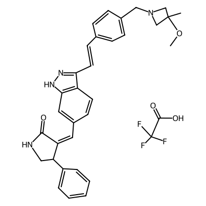 COC1(C)CN(Cc2ccc(/C=C/c3n[nH]c4cc(C=C5C(=O)NCC5c5ccccc5)ccc34)cc2)C1.O=C(O)C(F)(F)F